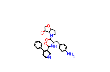 Nc1ccc(CC(NC(=O)c2cnccc2-c2ccccc2)C(=O)N2CCC3OCC(=O)C32)cc1